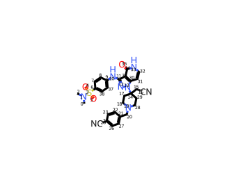 CN(C)S(=O)(=O)c1ccc(Nc2nn(C3(CC#N)CCN(Cc4ccc(C#N)cc4)CC3)c3cc[nH]c(=O)c23)cc1